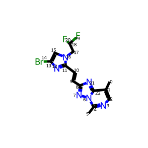 Cc1cnc(C)n2nc(C=Cc3nc(Br)cn3CC(F)F)nc12